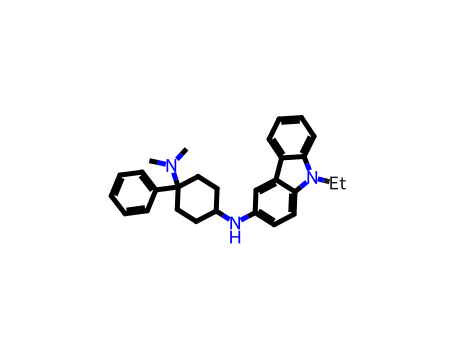 CCn1c2ccccc2c2cc(NC3CCC(c4ccccc4)(N(C)C)CC3)ccc21